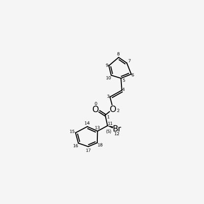 O=C(OC=Cc1ccccc1)[C@@H](Br)c1ccccc1